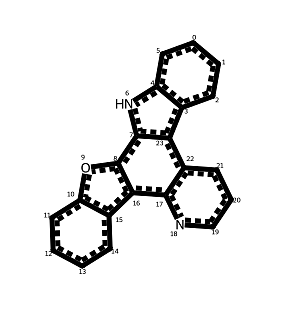 c1ccc2c(c1)[nH]c1c3oc4ccccc4c3c3ncccc3c21